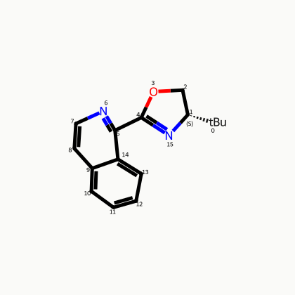 CC(C)(C)[C@H]1COC(c2nccc3ccccc23)=N1